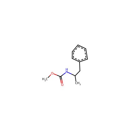 COC(=O)NC(C)Cc1ccccc1